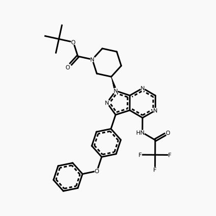 CC(C)(C)OC(=O)N1CCC[C@@H](n2nc(-c3ccc(Oc4ccccc4)cc3)c3c(NC(=O)C(F)(F)F)ncnc32)C1